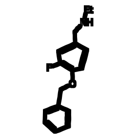 CCNCc1ccc(OCc2ccccc2)c(F)c1